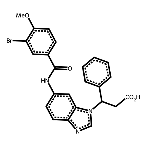 COc1ccc(C(=O)Nc2ccc3ncn(C(CC(=O)O)c4ccccc4)c3c2)cc1Br